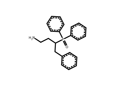 NCCC(Cc1ccccc1)P(=O)(c1ccccc1)c1ccccc1